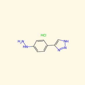 Cl.NNc1ccc(-c2c[nH]nn2)cc1